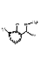 CC(C)(C)C(NC(=O)O)c1cccc(C(F)(F)F)c1C#N